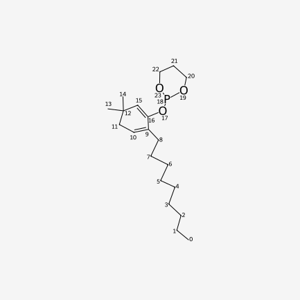 CCCCCCCCCC1=CCC(C)(C)C=C1OP1OCCCO1